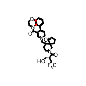 O=C(C1=CN(C[C@@]2(O)CCN(C(=O)[C@H](CO)CC(F)(F)F)CC23CCCC3)CC=C1c1ccccc1)N1CCOCC1